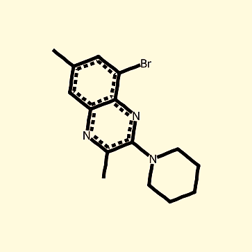 Cc1cc(Br)c2nc(N3CCCCC3)c(C)nc2c1